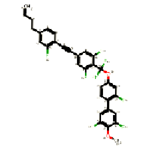 C=CCCc1ccc(C#Cc2cc(F)c(C(F)(F)Oc3ccc(-c4cc(F)c(OC(F)(F)F)c(F)c4)c(F)c3)c(F)c2)c(F)c1